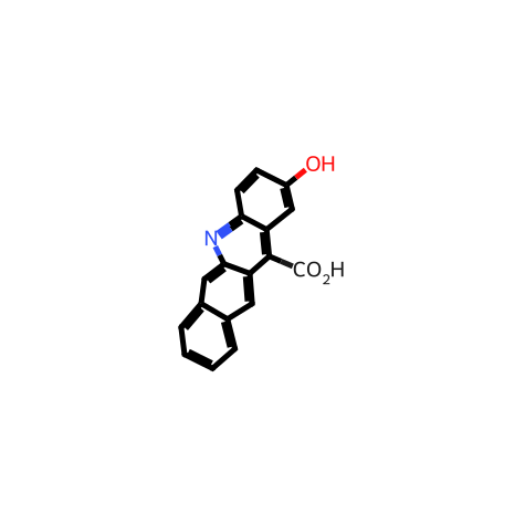 O=C(O)c1c2cc(O)ccc2nc2cc3ccccc3cc12